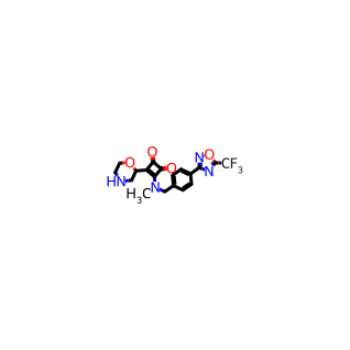 CN(Cc1ccc(-c2noc(C(F)(F)F)n2)cc1)c1c(C2CNCCO2)c(=O)c1=O